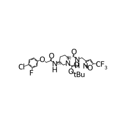 CC(C)(C)OC(=O)N1C[C@@H](NC(=O)COc2ccc(Cl)c(F)c2)CC[C@@H]1C(=O)NCc1cc(C(F)(F)F)on1